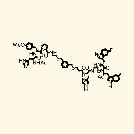 COc1ccc(C[C@H](NC(=O)[C@H](Cc2cnc[nH]2)NC(C)=O)C(=O)N2CCCC2C(=O)NCCSCc2cccc(CSCCC(=O)N(C)[C@@H](Cc3c[nH]cn3)C(=O)N(I)CC(=O)N[C@H](Cc3cn(I)c4ccc(F)cc34)C(=O)N[C@@H](Cc3c[nH]c4ccc(C)cc34)C(C)=O)c2)cc1